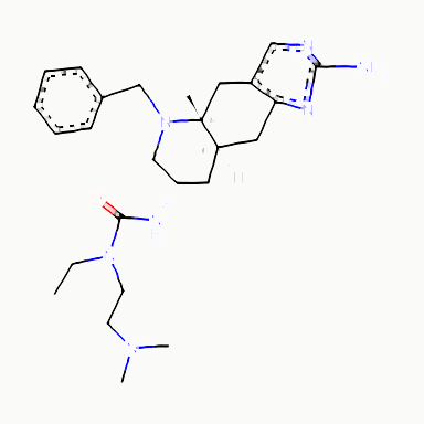 CCN(CCN(C)C)C(=O)N[C@H]1C[C@@H]2Cc3nc(N)ncc3C[C@H]2N(Cc2ccccc2)C1